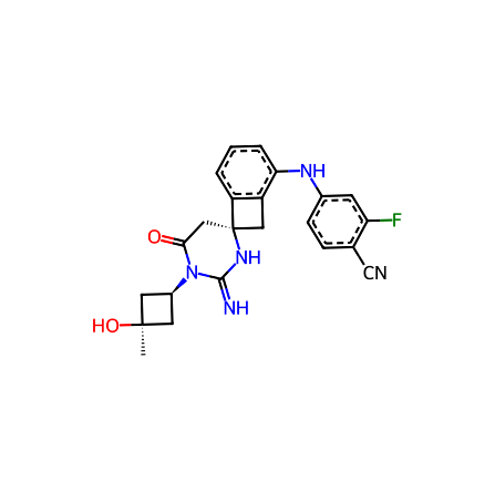 C[C@]1(O)C[C@@H](N2C(=N)N[C@]3(CC2=O)Cc2c(Nc4ccc(C#N)c(F)c4)cccc23)C1